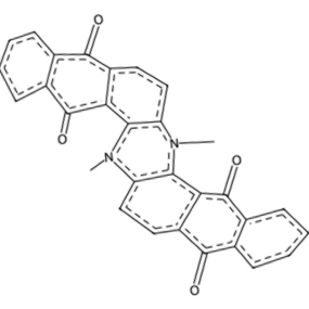 Cn1c2ccc3c(=O)c4ccccc4c(=O)c3c2n(C)c2ccc3c(=O)c4ccccc4c(=O)c3c21